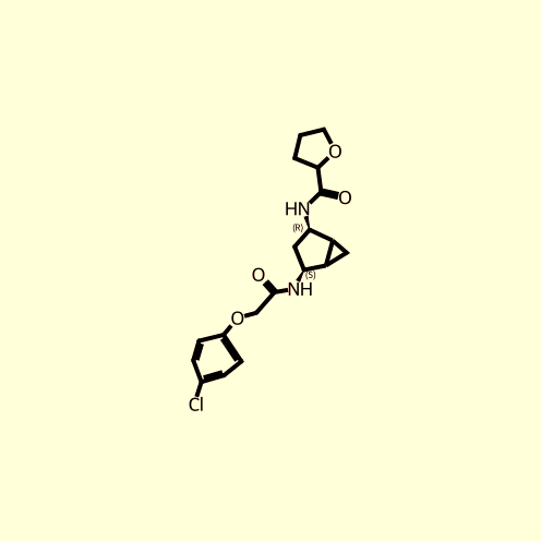 O=C(COc1ccc(Cl)cc1)N[C@H]1C[C@@H](NC(=O)C2CCCO2)C2CC21